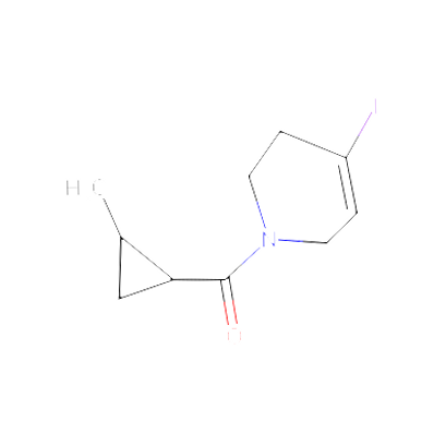 CC1CC1C(=O)N1CC=C(I)CC1